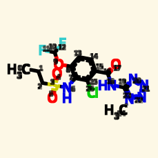 CCCS(=O)(=O)Nc1c(OC(F)F)ccc(C(=O)Nc2nnnn2C)c1Cl